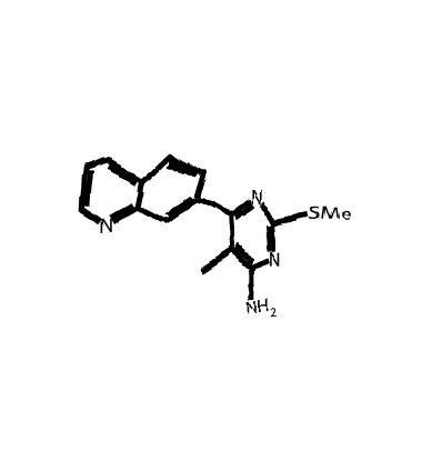 CSc1nc(N)c(C)c(-c2ccc3cccnc3c2)n1